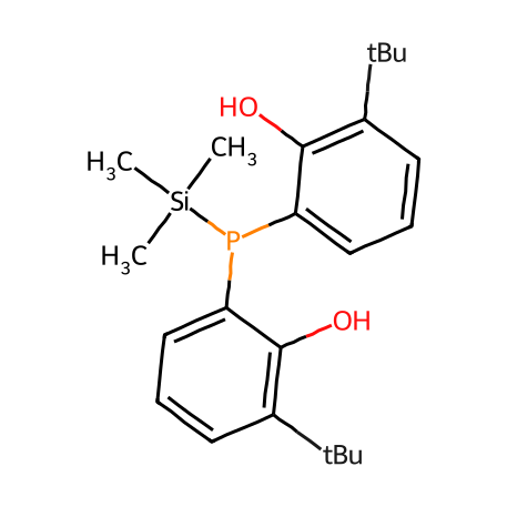 CC(C)(C)c1cccc(P(c2cccc(C(C)(C)C)c2O)[Si](C)(C)C)c1O